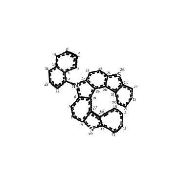 c1ccc2c(-n3c4ccc5sc6ccccc6c5c4c4c5c(ccc43)sc3ccccc35)cccc2c1